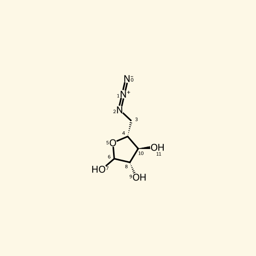 [N-]=[N+]=NC[C@H]1OC(O)[C@@H](O)[C@@H]1O